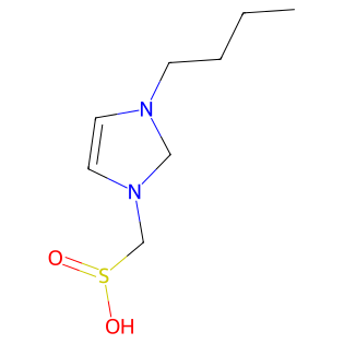 CCCCN1C=CN(CS(=O)O)C1